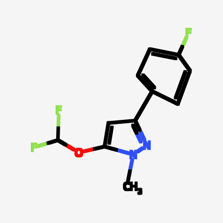 Cn1nc(-c2ccc(F)cc2)cc1OC(F)F